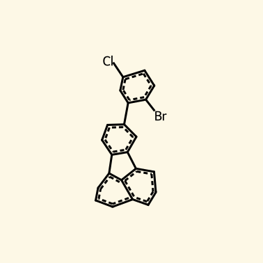 Clc1ccc(Br)c(-c2ccc3c(c2)-c2cccc4cccc-3c24)c1